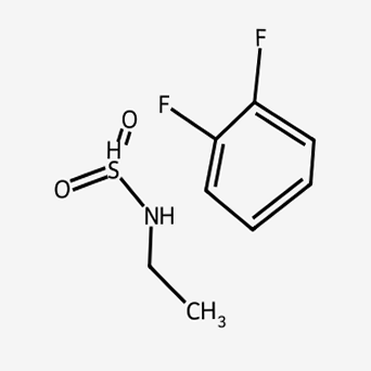 CCN[SH](=O)=O.Fc1ccccc1F